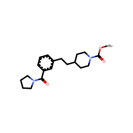 CC(C)(C)OC(=O)N1CCC(CCc2cccc(C(=O)N3CCCC3)c2)CC1